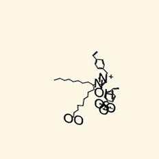 C=Cc1ccc(C[n+]2ccn(C(CCCCCCCC)C(O)CCCCCCCC(=O)OC)c2)cc1.C=Cc1ccc(S(=O)(=O)[O-])cc1